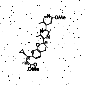 COC(=O)[C@H](C)[C@H](c1ccc2c(c1)O[C@@H](c1ncc(-c3cc(OC)ncc3C)nc1C)CC2)C1CC1